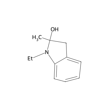 CCN1c2ccccc2CC1(C)O